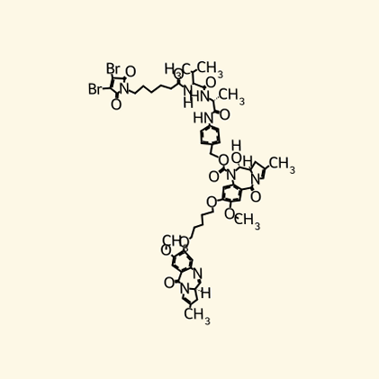 COc1cc2c(cc1OCCCCCOc1cc3c(cc1OC)C(=O)N1C=C(C)C[C@@H]1[C@@H](O)N3C(=O)OCc1ccc(NC(=O)[C@@H](C)NC(=O)[C@H](NC(=O)CCCCCN3C(=O)C(Br)=C(Br)C3=O)C(C)C)cc1)N=C[C@H]1CC(C)=CN1C2=O